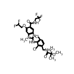 COC(C)(C)C(=O)NCc1ccc(Cl)c(Nc2nc3cc(C(=O)NCC(F)(F)F)c(OCC(F)F)cc3n2C)c1Cl